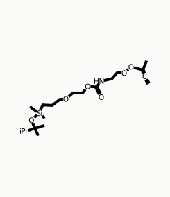 C=C=C(C)OOCCNC(=O)OCCOCCC[Si](C)(C)OC(C)(C)C(C)C